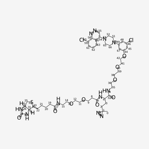 CC1(CCC(NC(=O)CCOCCOCCNC(=O)CCCC[C@@H]2SC[C@@H]3NC(=O)N[C@@H]32)C(=O)NCCOCCOCCOc2cc(Cl)cc(N3CCN(c4cnnc5c(Cl)cccc45)CC3)c2)N=N1